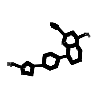 Cc1cc(C#N)nc2c(-c3ccc(-c4cnn(C)c4)cc3)cncc12